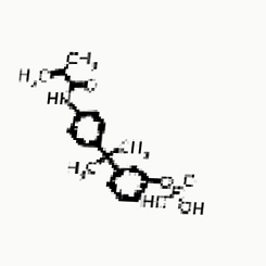 C=C(C)C(=O)Nc1ccc(C(C)(C)c2cccc(OP(=O)(O)O)c2)cc1